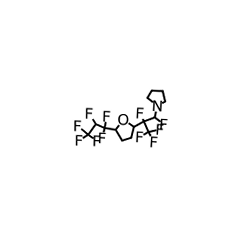 FC(C(F)(F)F)C(F)(F)C1CCC(C(F)(C(F)N2CCCC2)C(F)(F)F)O1